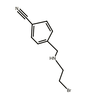 N#Cc1ccc(CNCCBr)cc1